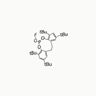 CC(C)(C)c1cc2c(c(C(C)(C)C)c1)OP(OF)Oc1c(cc(C(C)(C)C)cc1C(C)(C)C)CC2